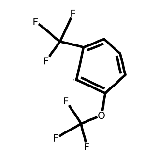 FC(F)(F)Oc1[c]c(C(F)(F)F)ccc1